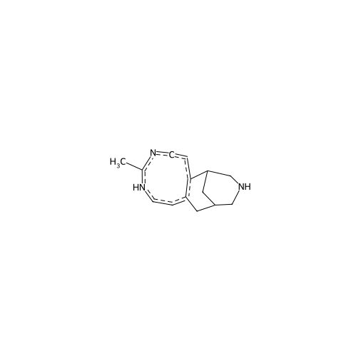 Cc1nccc2c(cc[nH]1)CC1CNCC2C1